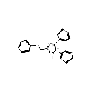 c1ccc(OCC2=N[C@@H](c3ccccc3)[C@@H](c3cccnc3)N2)cc1